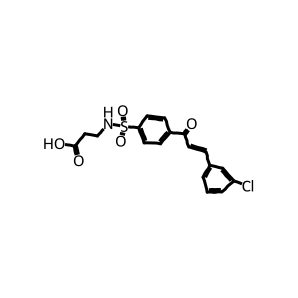 O=C(O)CCNS(=O)(=O)c1ccc(C(=O)C=Cc2cccc(Cl)c2)cc1